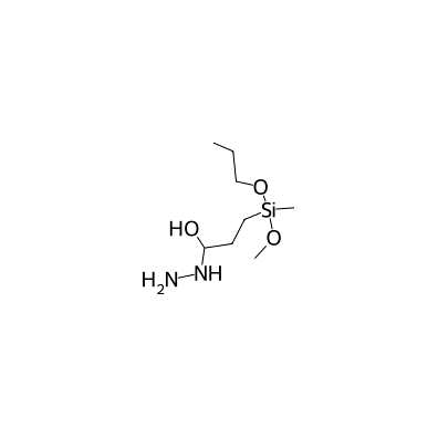 CCCO[Si](C)(CCC(O)NN)OC